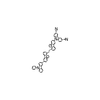 N#Cc1ccc2c(c1)c1cc(C#N)ccc1n2-c1ccc2oc3c(CCc4cccc5c4oc4ccc(-c6ccc7c(c6)c6ccccc6n7-c6ccccc6)cc45)cccc3c2c1